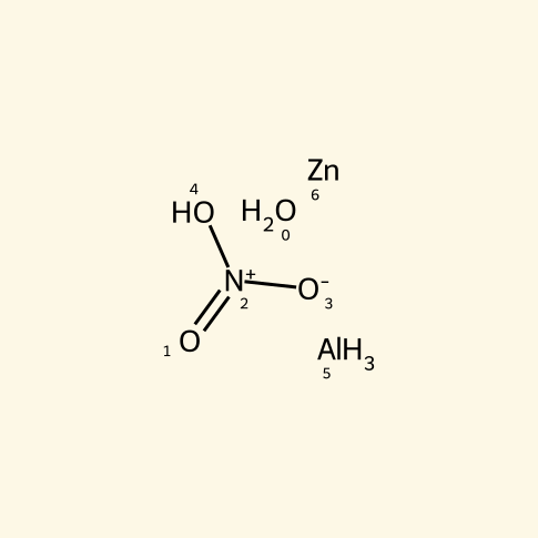 O.O=[N+]([O-])O.[AlH3].[Zn]